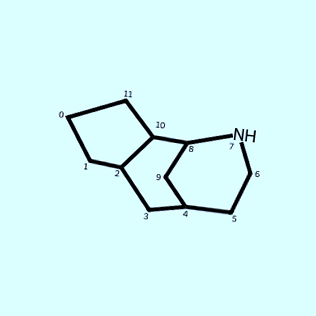 C1CC2CC3CCNC(C3)C2C1